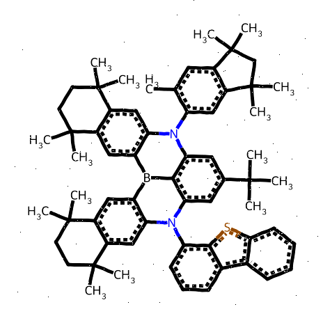 Cc1cc2c(cc1N1c3cc4c(cc3B3c5cc6c(cc5N(c5cccc7c5sc5ccccc57)c5cc(C(C)(C)C)cc1c53)C(C)(C)CCC6(C)C)C(C)(C)CCC4(C)C)C(C)(C)CC2(C)C